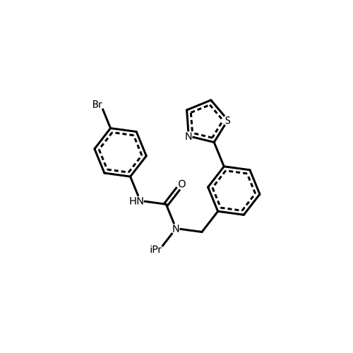 CC(C)N(Cc1cccc(-c2nccs2)c1)C(=O)Nc1ccc(Br)cc1